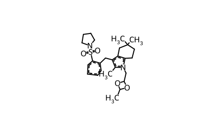 Cc1c(Cc2ccccc2S(=O)(=O)N2CCCC2)c2c(n1CC1OC(C)O1)CCC(C)(C)C2